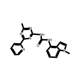 Cc1nc(NC(=O)Nc2cccc3c2ccn3C)nc(-c2ccccn2)n1